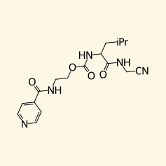 CC(C)CC(NC(=O)OCCNC(=O)c1ccncc1)C(=O)NCC#N